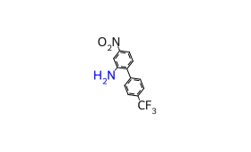 Nc1cc([N+](=O)[O-])ccc1-c1ccc(C(F)(F)F)cc1